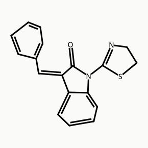 O=C1C(=Cc2ccccc2)c2ccccc2N1C1=NCCS1